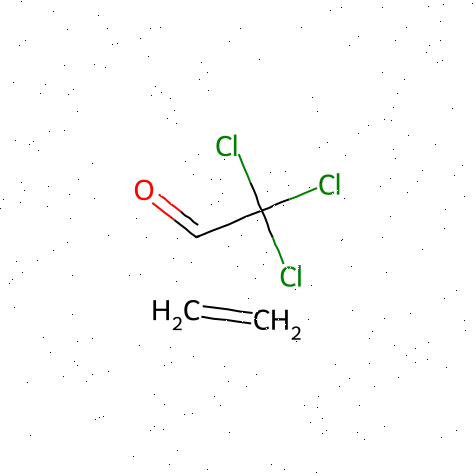 C=C.O=CC(Cl)(Cl)Cl